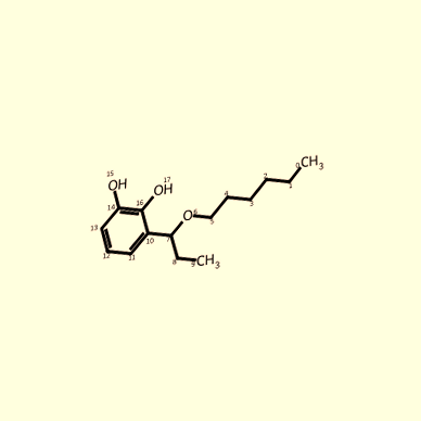 CCCCCCOC(CC)c1cccc(O)c1O